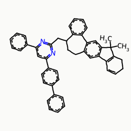 CC1(C)C2=C(C=CCC2)c2cc3c(cc21)-c1ccccc1C(Cc1nc(-c2ccccc2)cc(-c2ccc(-c4ccccc4)cc2)n1)CC3